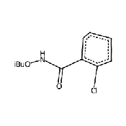 CC(C)CONC(=O)c1ccccc1Cl